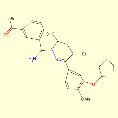 CCCCC(=O)c1cccc(C(N)N2N=C(c3ccc(OC)c(OC4CCCC4)c3)C(CC)CC2C=O)c1